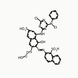 CCN(c1ccccc1)c1nc(Cl)nc(Nc2cc(S(=O)(=O)O)cc3cc(SOOO)c(N=Nc4ccc5ccccc5c4S(=O)(=O)O)c(O)c23)n1